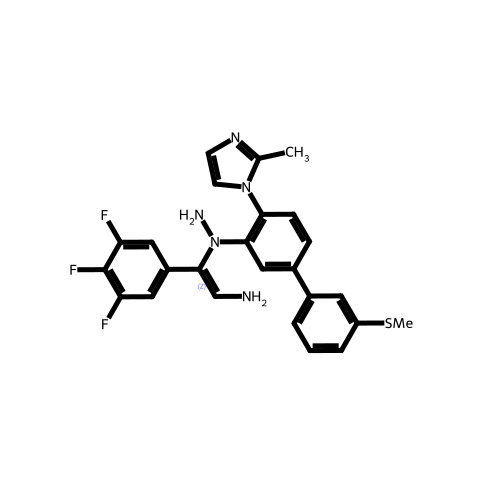 CSc1cccc(-c2ccc(-n3ccnc3C)c(N(N)/C(=C\N)c3cc(F)c(F)c(F)c3)c2)c1